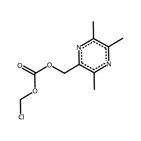 Cc1nc(C)c(COC(=O)OCCl)nc1C